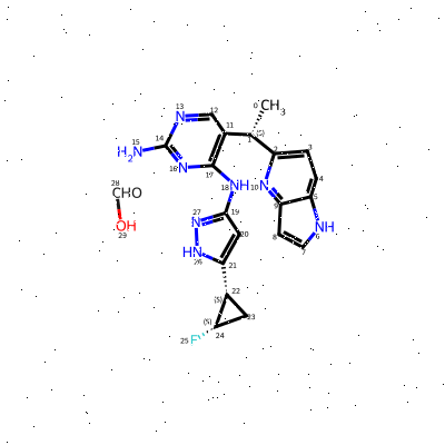 C[C@H](c1ccc2[nH]ccc2n1)c1cnc(N)nc1Nc1cc([C@@H]2C[C@@H]2F)[nH]n1.O=CO